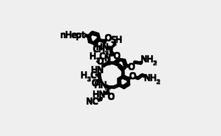 CCCCCCCc1ccc(C(=O)N[C@@H](CS)C(=O)N(C)[C@@H]2C(=O)N[C@@H](C)C(=O)N[C@H](C(=O)NCC#N)Cc3ccc(OCCN)c(c3)-c3cc2ccc3OCCN)c(C)c1